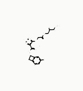 O=C(COc1nonc1C(=NO)N[C@H]1Cc2ccc(F)cc21)NCC(O)CO